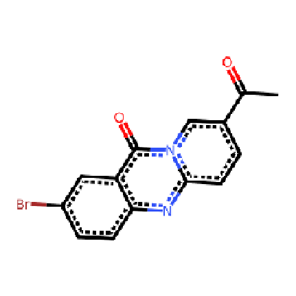 CC(=O)c1ccc2nc3ccc(Br)cc3c(=O)n2c1